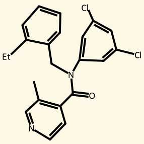 CCc1ccccc1CN(C(=O)c1ccncc1C)c1cc(Cl)cc(Cl)c1